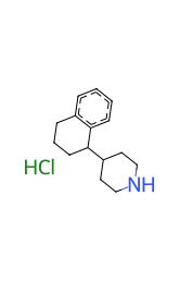 Cl.c1ccc2c(c1)CCCC2C1CCNCC1